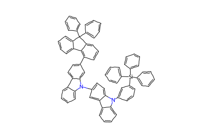 c1ccc(C2(c3ccccc3)c3ccccc3-c3c(-c4ccc5c6ccccc6n(-c6ccc7c(c6)c6ccccc6n7-c6cccc([Si](c7ccccc7)(c7ccccc7)c7ccccc7)c6)c5c4)cccc32)cc1